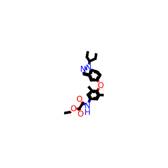 CCOC(=O)C(=O)Nc1cc(C)c(Oc2ccc3c(cnn3C(CC)CC)c2)c(C)c1